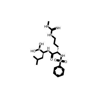 CNC(=N)NCCC[C@H](NS(=O)(=O)c1ccccc1)C(=O)N[C@@H](CC(C)C)B(O)O